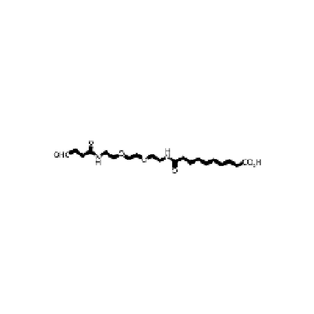 O=[C]CCC(=O)NCCOCCOCCNC(=O)CCCCCCCCC(=O)O